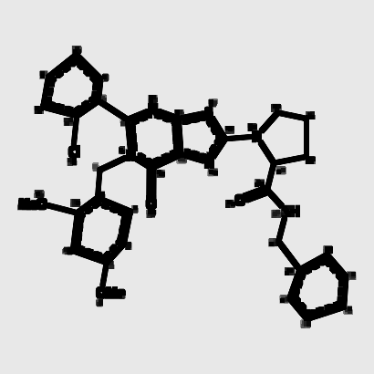 COc1ccc(Cn2c(-c3ccccc3Cl)nc3sc(N4CCCC4C(=O)NCc4ccccc4)nc3c2=O)c(OC)c1